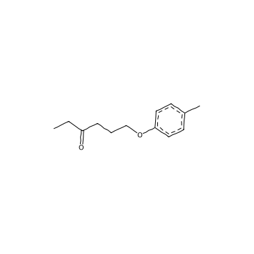 CCC(=O)CCCOc1ccc(C)cc1